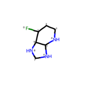 FC1CCNC2NCNC12